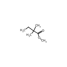 C[CH]C(C)(C)C(=O)OC